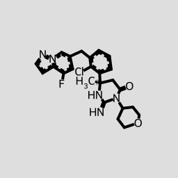 C[C@@]1(c2cccc(Cc3cc(F)c4ccnn4c3)c2Cl)CC(=O)N(C2CCOCC2)C(=N)N1